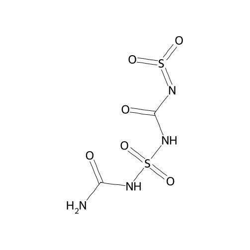 NC(=O)NS(=O)(=O)NC(=O)N=S(=O)=O